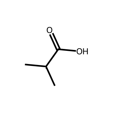 C[C](C)C(=O)O